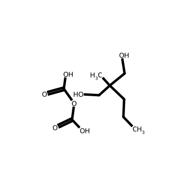 CCCC(C)(CO)CO.O=C(O)OC(=O)O